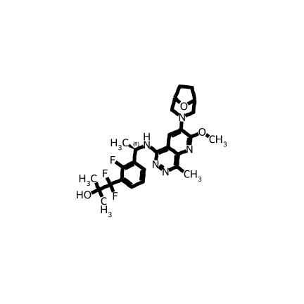 COc1nc2c(C)nnc(N[C@H](C)c3cccc(C(F)(F)C(C)(C)O)c3F)c2cc1N1CC2CCC(C1)O2